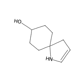 OC1CCC2(CC=CN2)CC1